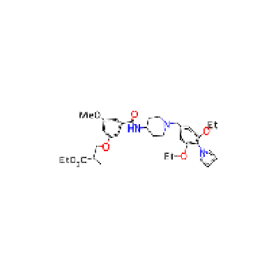 CCOC(=O)C(C)COc1cc(OC)cc(C(=O)NC2CCN(Cc3cc(OCC)c(-n4cccc4)c(OCC)c3)CC2)c1